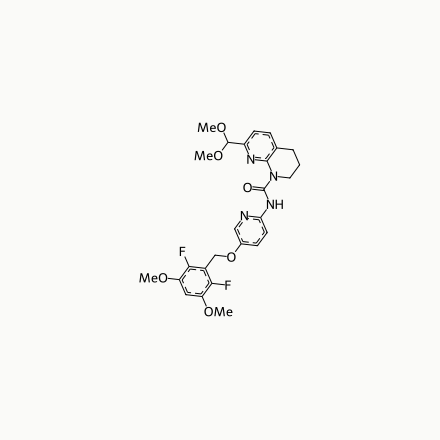 COc1cc(OC)c(F)c(COc2ccc(NC(=O)N3CCCc4ccc(C(OC)OC)nc43)nc2)c1F